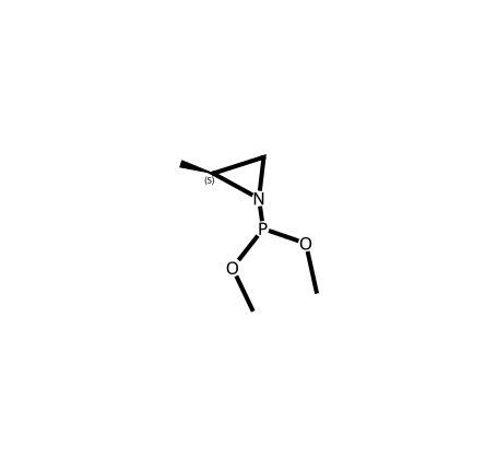 COP(OC)N1C[C@@H]1C